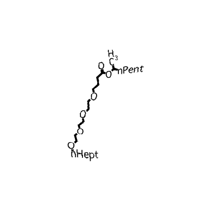 CCCCCCCOCCOCCOCCOCCCC(=O)OC(C)CCCCC